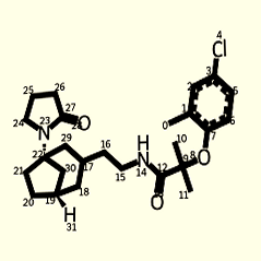 Cc1cc(Cl)ccc1OC(C)(C)C(=O)NCCC1C[C@@H]2CC[C@@](N3CCCC3=O)(C1)C2